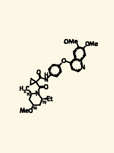 CC[C@H]1C[C@@H](OC)C[C@@H](C)N1C(=O)C1(C(=O)Nc2ccc(Oc3ccnc4cc(OC)c(OC)cc34)cc2)CC1